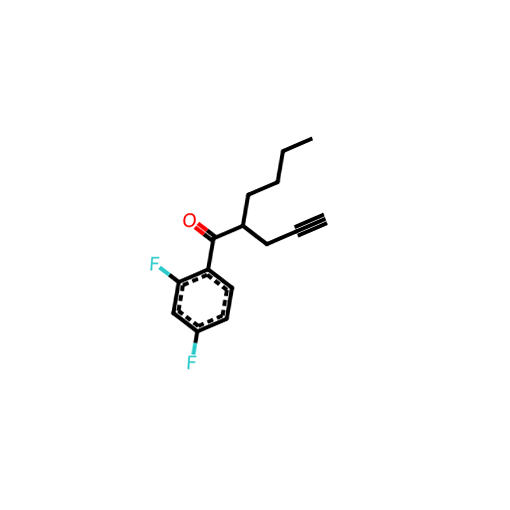 C#CCC(CCCC)C(=O)c1ccc(F)cc1F